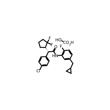 O=C(Nc1cc(CC2CC2)ccc1F)[C@H](c1ccc(Cl)cc1)C1CCCC1(F)F.O=C(O)O